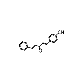 N#Cc1ccc(/C=C/C(=O)/C=C/c2ccccc2)cc1